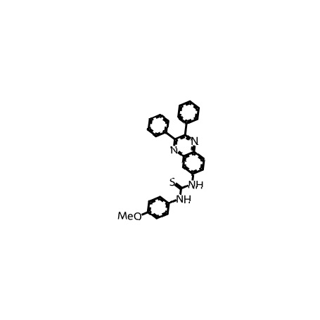 COc1ccc(NC(=S)Nc2ccc3nc(-c4ccccc4)c(-c4ccccc4)nc3c2)cc1